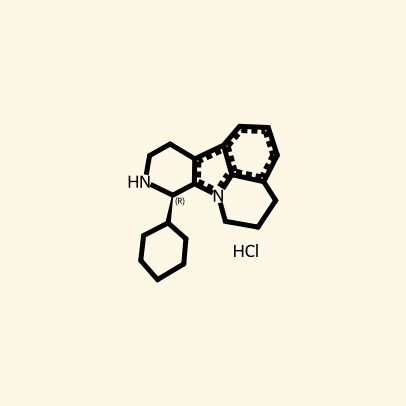 Cl.c1cc2c3c(c1)c1c(n3CCC2)[C@@H](C2CCCCC2)NCC1